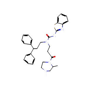 CC1CNCCN1C(=O)CCN(CCC(c1ccccc1)c1ccccc1)C(=O)Nc1nc2ccccc2s1